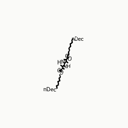 CCCCCCCCCCCCCCCCCCOC(=O)c1c[nH]c(-c2[nH]cc(C(=O)OCCCCCCCCCCCCCCCCCC)c2C)c1C